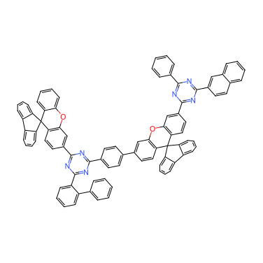 c1ccc(-c2nc(-c3ccc4c(c3)Oc3cc(-c5ccc(-c6nc(-c7ccc8c(c7)Oc7ccccc7C87c8ccccc8-c8ccccc87)nc(-c7ccccc7-c7ccccc7)n6)cc5)ccc3C43c4ccccc4-c4ccccc43)nc(-c3ccc4ccccc4c3)n2)cc1